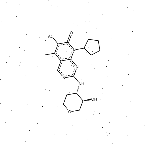 CC(=O)c1c(C)c2cnc(N[C@H]3CCOC[C@@H]3O)nc2n(C2CCCC2)c1=O